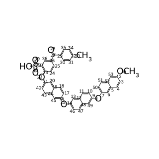 COc1ccc2cc(Oc3ccc4cc(Oc5ccc6cc(Oc7ccc(C(=O)c8ccc(C)cc8)cc7S(=O)(=O)O)ccc6c5)ccc4c3)ccc2c1